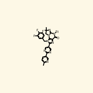 CCN1C(=O)c2nc(-c3cnc(-c4ccc(C)nc4)nc3)n(Cc3cc(F)c(F)c(F)c3)c2N2CC(C)(C)N=C12